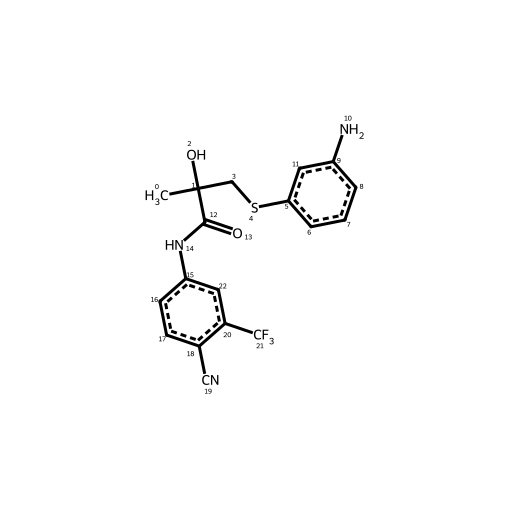 CC(O)(CSc1cccc(N)c1)C(=O)Nc1ccc(C#N)c(C(F)(F)F)c1